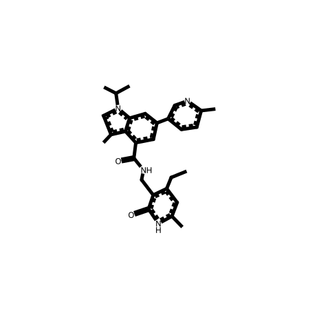 CCc1cc(C)[nH]c(=O)c1CNC(=O)c1cc(-c2ccc(C)nc2)cc2c1c(C)cn2C(C)C